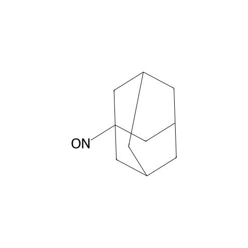 O=NC12CC3CC(CC(C3)C1)C2